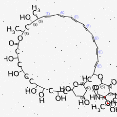 C[C@H]1C[C@H](O)[C@@H](C)/C=C/C=C/C=C/C=C/C=C/C=C/C=C/C(O[C@@H]2OC[C@@H](O)[C@H](N)[C@@H]2O)C[C@@H]2OC(O)(CC(O)CC(O)C(O)CCC(O)CC(O)CC(=O)O1)C[C@H](O)[C@H]2C(=O)NCC(C)(C)O